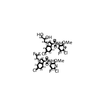 COc1nc(Cl)c(F)cc1NS(=O)(=O)c1cn(CC(F)F)c2cc(Cl)ccc12.COc1nc(Cl)c(F)cc1NS(=O)(=O)c1cn(CC(O)CO)c2cc(Cl)ccc12